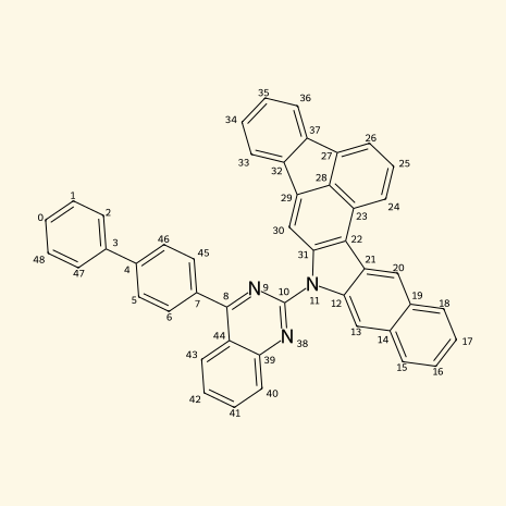 c1ccc(-c2ccc(-c3nc(-n4c5cc6ccccc6cc5c5c6cccc7c6c(cc54)-c4ccccc4-7)nc4ccccc34)cc2)cc1